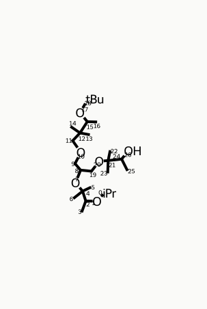 CC(C)OC(C)C(C)(C)OC(COCC(C)(C)C(C)OC(C)(C)C)COC(C)(C)C(C)O